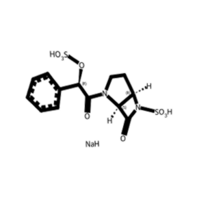 O=C([C@H](OS(=O)(=O)O)c1ccccc1)N1CC[C@@H]2[C@H]1C(=O)N2S(=O)(=O)O.[NaH]